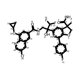 CC1(C(N)=O)COc2c1cc(C(O)(CNC(=O)c1cc(OC3CC3)c3ncc(Cl)cc3c1)C(F)F)nc2-c1ccc(F)cc1